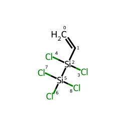 C=C[Si](Cl)(Cl)[Si](Cl)(Cl)Cl